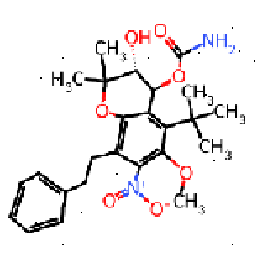 COc1c([N+](=O)[O-])c(CCc2ccccc2)c2c(c1C(C)(C)C)[C@H](OC(N)=O)[C@@H](O)C(C)(C)O2